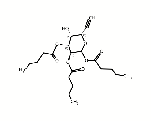 C#C[C@@H]1OC(OC(=O)CCCC)[C@@H](OC(=O)CCCC)[C@H](OC(=O)CCCC)[C@@H]1O